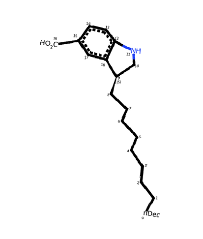 CCCCCCCCCCCCCCCCCC[C@@H]1CNc2ccc(C(=O)O)cc21